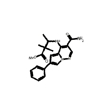 COC(=O)C(C)(C)C(C)Nc1c(C(N)=O)cnn2cc(-c3ccccc3)cc12